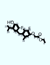 CCOC(=O)COc1cc(C)c(Cc2ccc(O)c(C(C)C)c2)c(F)c1F